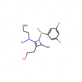 CCCCC1C(CCO)=C(N(CCOC)C(C)=O)N1[S+]([O-])c1cc(Cl)cc(Cl)c1